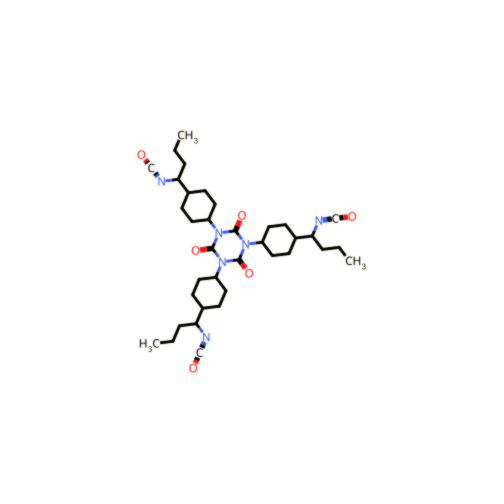 CCCC(N=C=O)C1CCC(n2c(=O)n(C3CCC(C(CCC)N=C=O)CC3)c(=O)n(C3CCC(C(CCC)N=C=O)CC3)c2=O)CC1